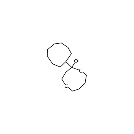 [O]C1(C2CCCCCCCC2)CCCCCCCC1